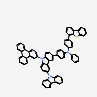 c1ccc(N(c2ccc(-c3ccc4c(c3)c3cc(-n5c6ccccc6c6ccccc65)ccc3n4-c3ccc4c5ccccc5c5ccccc5c4c3)cc2)c2ccc(-c3cccc4c3sc3ccccc34)cc2)cc1